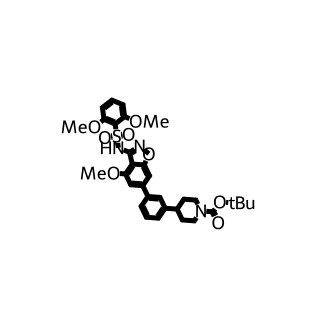 COc1cccc(OC)c1S(=O)(=O)Nc1noc2cc(-c3cccc(C4CCN(C(=O)OC(C)(C)C)CC4)c3)cc(OC)c12